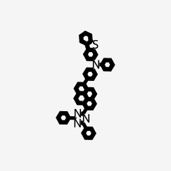 c1ccc(-c2nc(-c3ccccc3)nc(-c3ccc4ccc5c(-c6ccc(N(c7ccccc7)c7ccc8c(c7)sc7ccccc78)cc6)ccc6ccc3c4c65)n2)cc1